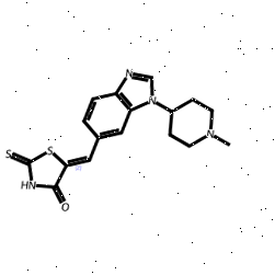 CN1CCC(n2cnc3ccc(/C=C4\SC(=S)NC4=O)cc32)CC1